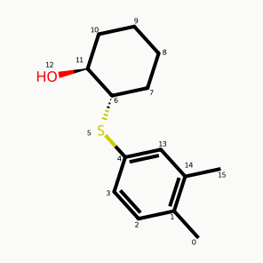 Cc1ccc(S[C@H]2CCCC[C@@H]2O)cc1C